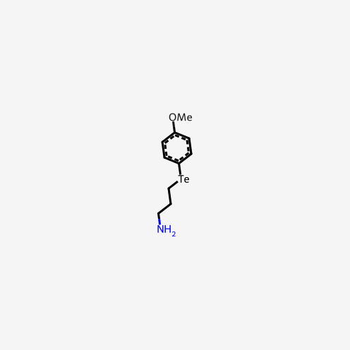 COc1ccc([Te]CCCN)cc1